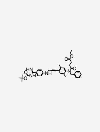 CCOC(=O)CCC(=O)N(Cc1ccccc1)c1cc(C)c(C#CCNc2ccc(C(=N)NC(=O)OC(C)(C)C)cc2)cc1C